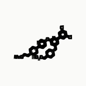 COCCN1CCN(c2ccc(Oc3cc(CN4CCC(CC(=O)O)CC4)cc(-c4cc(Cl)cc(Cl)c4)n3)cn2)CC1